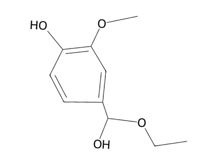 CCOC(O)c1ccc(O)c(OC)c1